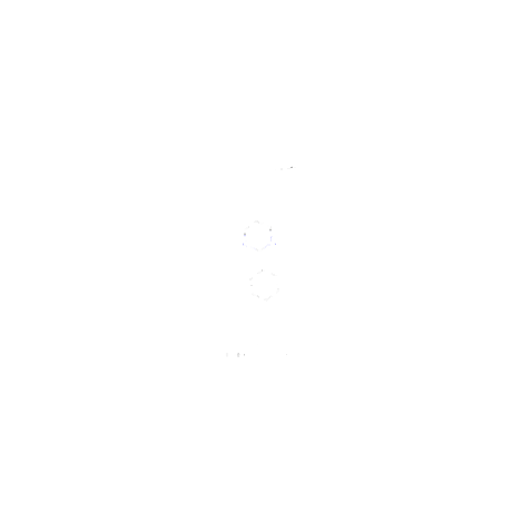 CCCCCCCCCCCCOc1cnc(-c2ccc(OCC(C)CCCCCC)cc2)nc1